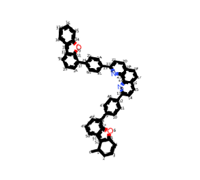 CC1CC=Cc2oc3c(-c4ccc(-c5ccc6ccc7ccc(-c8ccc(-c9cccc%10c9oc9ccccc9%10)cc8)nc7c6n5)cc4)cccc3c21